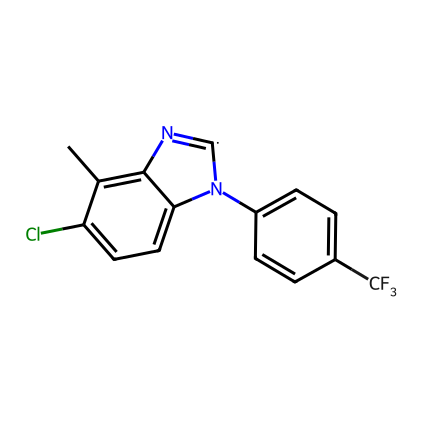 Cc1c(Cl)ccc2c1n[c]n2-c1ccc(C(F)(F)F)cc1